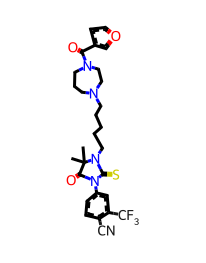 CC1(C)C(=O)N(c2ccc(C#N)c(C(F)(F)F)c2)C(=S)N1CCCCCN1CCCN(C(=O)c2ccoc2)CC1